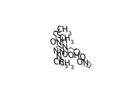 CCN(CC)c1ncc(N(CC)C(=O)c2ccc(C)s2)c(N[C@@H](Cc2ccc(OC(=O)N3CCCC3)cc2)C(=O)O)n1